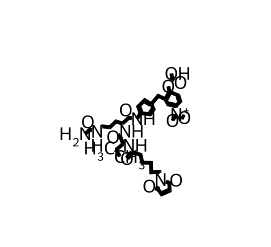 CC(C)C(NC(=O)CCCCCN1C(=O)C=CC1=O)C(=O)NC(CCCNC(N)=O)C(=O)Nc1ccc(Cc2cc([N+](=O)[O-])ccc2OC(=O)O)cc1